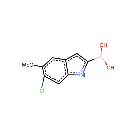 COc1cc2cc(B(O)O)[nH]c2cc1Cl